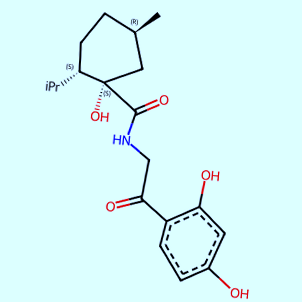 CC(C)[C@@H]1CC[C@@H](C)C[C@@]1(O)C(=O)NCC(=O)c1ccc(O)cc1O